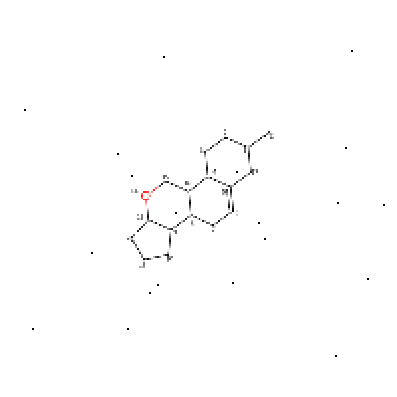 CC1CCC2C(=CCC3C4CCCC4OCC23)C1